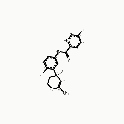 C[C@@]1(c2cc(NC(=O)c3cnc(Cl)cn3)ccc2F)CCSC(N)=N1